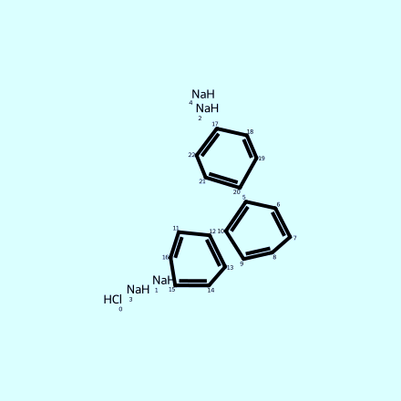 Cl.[NaH].[NaH].[NaH].[NaH].c1ccccc1.c1ccccc1.c1ccccc1